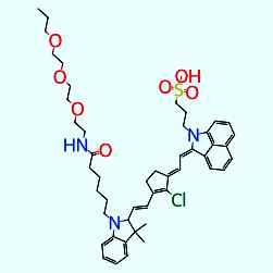 CCCOCCOCCOCCNC(=O)CCCCCN1c2ccccc2C(C)(C)C1/C=C/C1=C(Cl)C(=C/C=c2\c3cccc4cccc(c43)n2CCCS(=O)(=O)O)/CC1